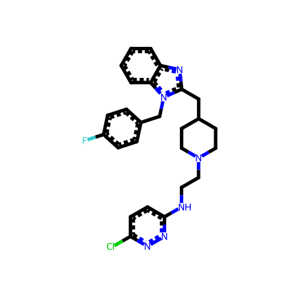 Fc1ccc(Cn2c(CC3CCN(CCNc4ccc(Cl)nn4)CC3)nc3ccccc32)cc1